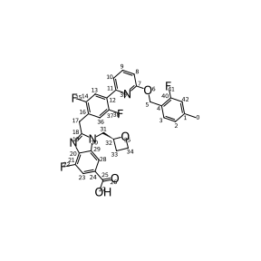 Cc1ccc(COc2cccc(-c3cc(F)c(Cc4nc5c(F)cc(C(=O)O)cc5n4C[C@@H]4CCO4)cc3F)n2)c(F)c1